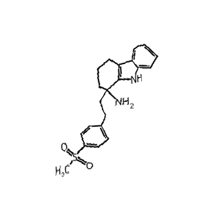 CS(=O)(=O)c1ccc(CCC2(N)CCCc3c2[nH]c2ccccc32)cc1